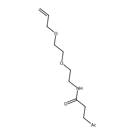 C=CCOCCOCCNC(=O)CCC(C)=O